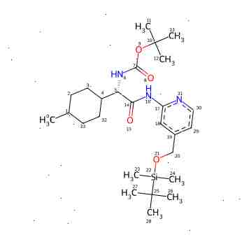 CC1CCC([C@H](NC(=O)OC(C)(C)C)C(=O)Nc2cc(CO[Si](C)(C)C(C)(C)C)ccn2)CC1